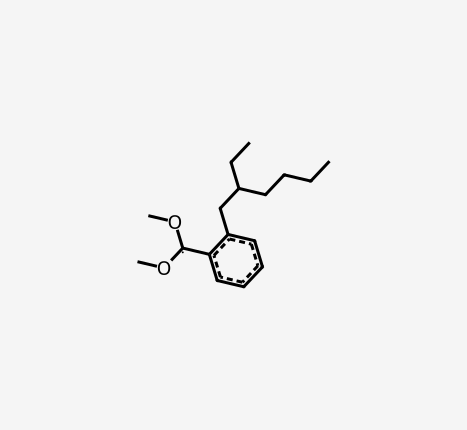 CCCCC(CC)Cc1ccccc1[C](OC)OC